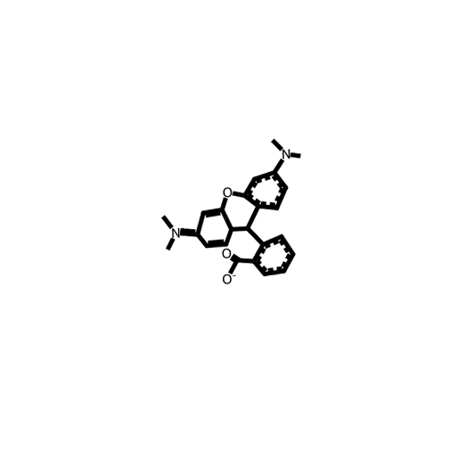 CN(C)c1ccc2c(c1)OC1=CC(=[N+](C)C)C=CC1C2c1ccccc1C(=O)[O-]